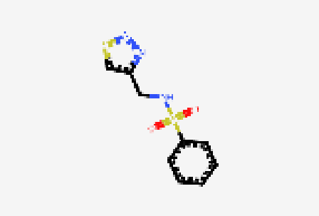 O=S(=O)(NCc1csnn1)c1ccccc1